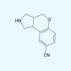 N#Cc1ccc2c(c1)C1CNCC1CO2